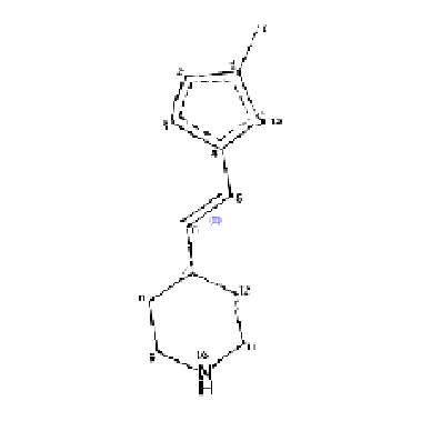 Cc1ccc(/C=C/C2CCNCC2)s1